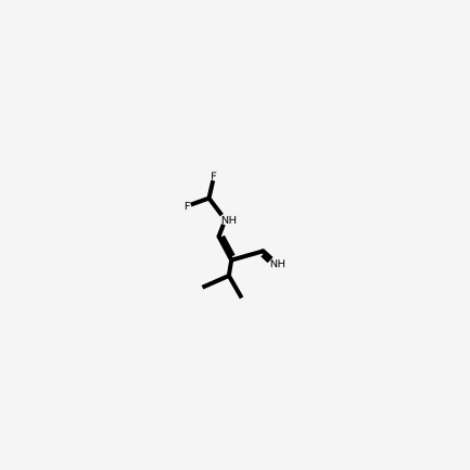 CC(C)/C(C=N)=C/NC(F)F